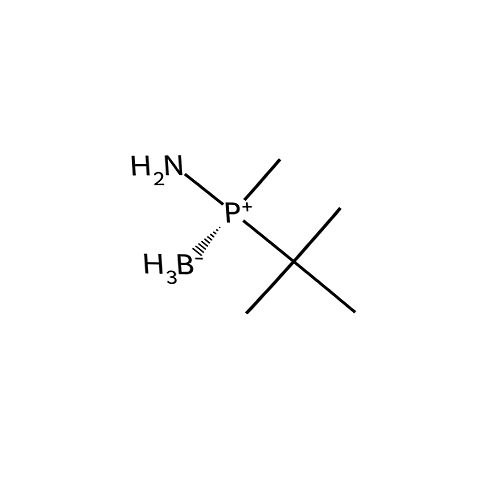 [BH3-][P@@+](C)(N)C(C)(C)C